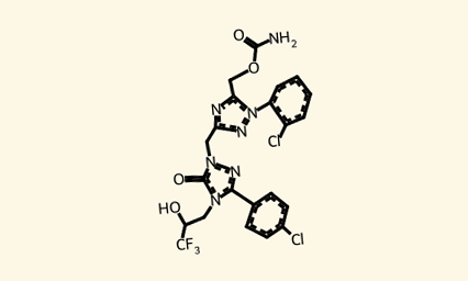 NC(=O)OCc1nc(Cn2nc(-c3ccc(Cl)cc3)n(CC(O)C(F)(F)F)c2=O)nn1-c1ccccc1Cl